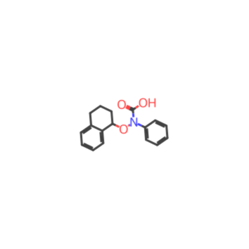 O=C(O)N(OC1CCCc2ccccc21)c1ccccc1